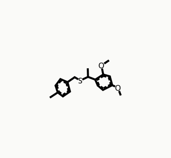 COc1ccc(C(C)SCc2ccc(C)cc2)c(OC)c1